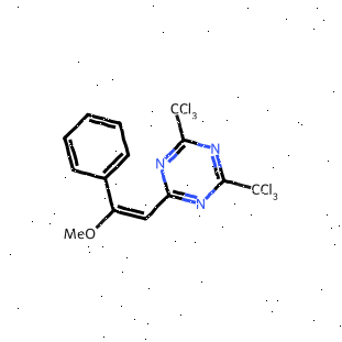 COC(=Cc1nc(C(Cl)(Cl)Cl)nc(C(Cl)(Cl)Cl)n1)c1ccccc1